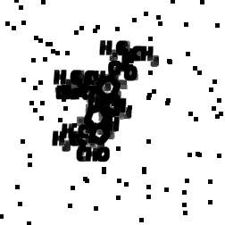 CC(C=O)[C@H]1CC[C@H]2C3=CC=C4C[C@@H](OC(=O)N(C)C)C[C@H](O[Si](C)(C)C(C)(C)C)[C@]4(C)[C@H]3CC[C@]12C